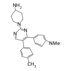 CNc1ccc(-c2nc(N3CCC(N)CC3)ncc2-c2ccc(C)cc2)cc1